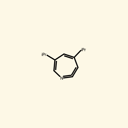 CC(C)C1=CN=C=CC(C(C)C)=C1